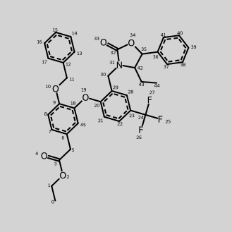 CCOC(=O)Cc1ccc(OCc2ccccc2)c(Oc2ccc(C(F)(F)F)cc2CN2C(=O)OC(c3ccccc3)C2CC)c1